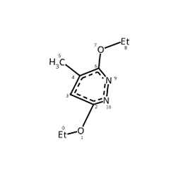 CCOc1cc(C)c(OCC)nn1